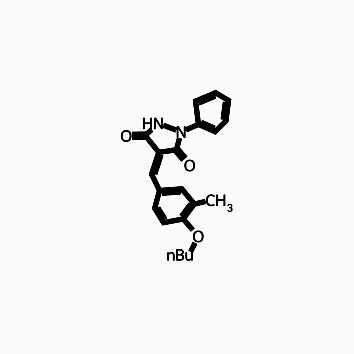 CCCCOc1ccc(/C=C2/C(=O)NN(c3ccccc3)C2=O)cc1C